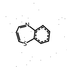 C1=CSc2ccccc2N=C1